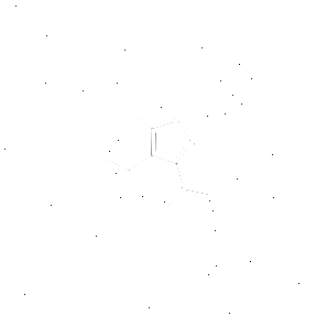 CCc1c(N(C)C)n[nH]c1C